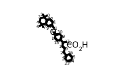 CC1(C)CCC(C)(C)c2cc(COc3ccc(C(C=CCc4ccccc4)CC(=O)O)cc3)ccc21